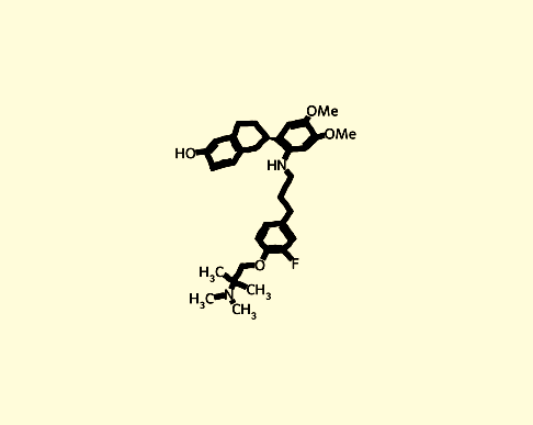 COc1cc(NCCCc2ccc(OCC(C)(C)N(C)C)c(F)c2)c([C@@H]2CCc3cc(O)ccc3C2)cc1OC